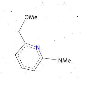 CNc1cccc(COC)n1